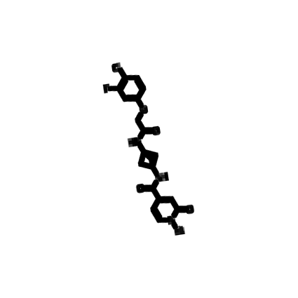 CCn1ccc(C(=O)NC23CC(NC(=O)COc4ccc(Cl)c(F)c4)(C2)C3)cc1=O